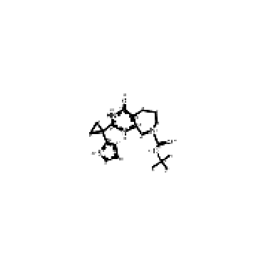 CC(C)(C)OC(=O)N1CCCc2c(nc(C3(c4cccs4)CC3)[nH]c2=O)C1